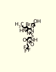 CCc1[nH]c2nc(Sc3cc(=O)n(CCC(F)(F)F)c(=O)[nH]3)nc(N3CC(O)C3)c2c1Br